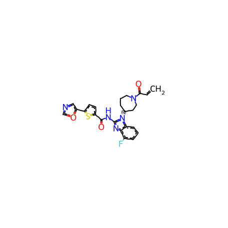 C=CC(=O)N1CCC[C@@H](n2c(NC(=O)c3ccc(-c4cnco4)s3)nc3c(F)cccc32)CC1